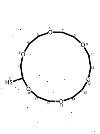 SC1COCCOCCOCCOCCOCCO1